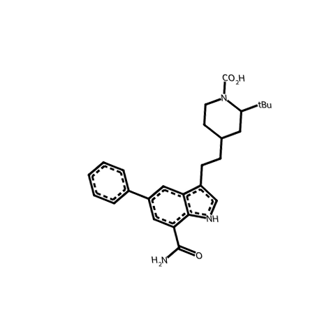 CC(C)(C)C1CC(CCc2c[nH]c3c(C(N)=O)cc(-c4ccccc4)cc23)CCN1C(=O)O